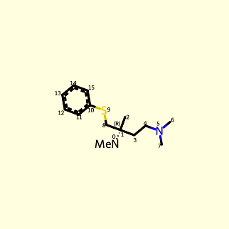 CN[C@](C)(CCN(C)C)CSc1ccccc1